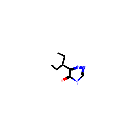 CCC(CC)C1=[N+]=[N+]=CNC1=O